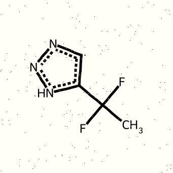 CC(F)(F)c1[c]nn[nH]1